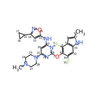 Cc1cc2c(F)c(Oc3nc(Nc4cc(C5CC5)no4)cc(N4CCN(C)CC4)n3)c(F)cc2[nH]1